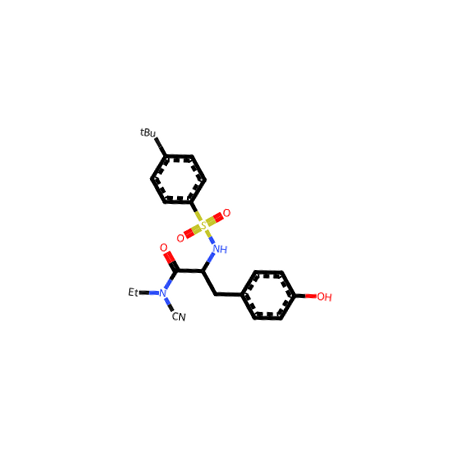 CCN(C#N)C(=O)C(Cc1ccc(O)cc1)NS(=O)(=O)c1ccc(C(C)(C)C)cc1